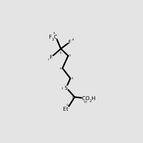 CCC(SCCCC(F)(F)C(F)(F)F)C(=O)O